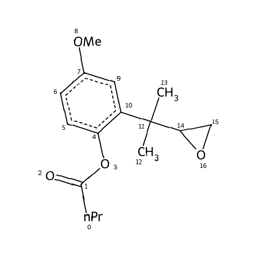 CCCC(=O)Oc1ccc(OC)cc1C(C)(C)C1CO1